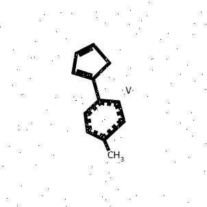 Cc1ccc(C2=CC=CC2)cc1.[V]